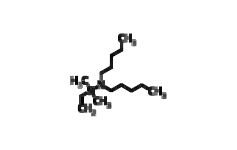 C=C[Si](C)(C)N(CCCCC)CCCCC